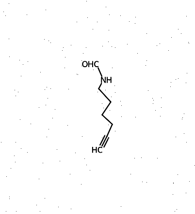 C#CCCCCNC=O